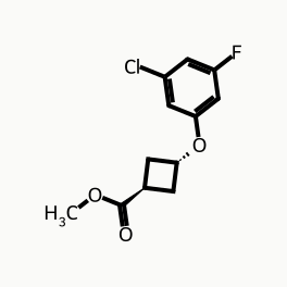 COC(=O)[C@H]1C[C@H](Oc2cc(F)cc(Cl)c2)C1